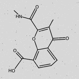 CNC(=O)c1oc2c(C(=O)O)cccc2c(=O)c1C